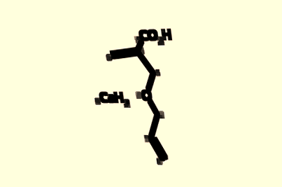 C=CCOCC(=C)C(=O)O.[CaH2]